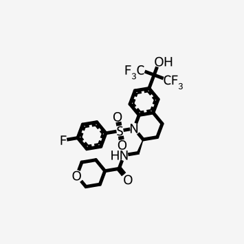 O=C(NC[C@@H]1CCc2cc(C(O)(C(F)(F)F)C(F)(F)F)ccc2N1S(=O)(=O)c1ccc(F)cc1)C1CCOCC1